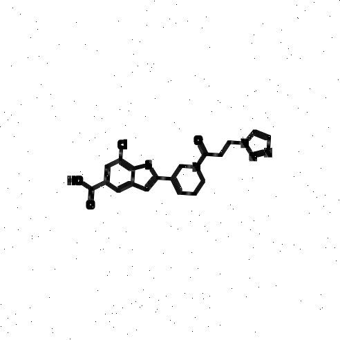 O=C(O)c1cc(Cl)c2sc(C3=CCCN(C(=O)CCn4ccnn4)C3)cc2c1